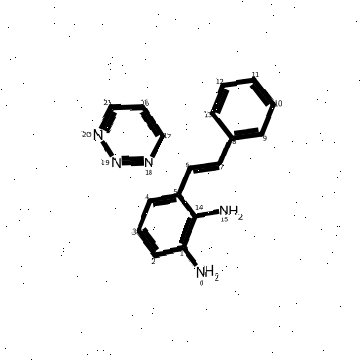 Nc1cccc(C=Cc2ccccc2)c1N.c1cnnnc1